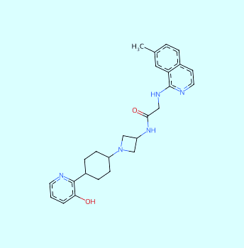 Cc1ccc2ccnc(NCC(=O)NC3CN(C4CCC(c5ncccc5O)CC4)C3)c2c1